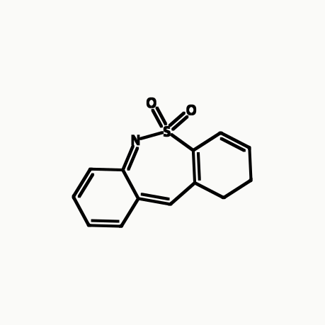 O=S1(=O)N=c2ccccc2=CC2=C1C=CCC2